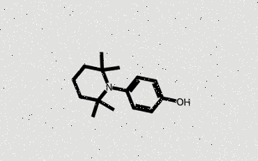 CC1(C)CCCC(C)(C)N1c1ccc(O)cc1